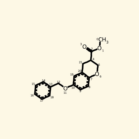 COC(=O)C1COc2ccc(OCc3ccccc3)cc2C1